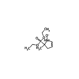 CCOP(=O)(OCC)C1(C)CC=C[NH+]1[O-]